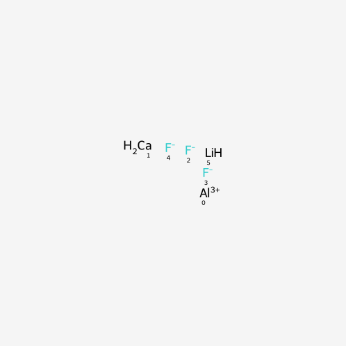 [Al+3].[CaH2].[F-].[F-].[F-].[LiH]